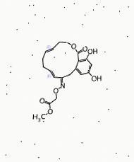 COC(=O)CON=C1/C=C/CC/C=C/CCOC(=O)c2c(O)cc(O)cc2C1